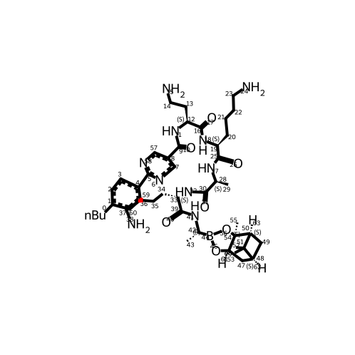 CCCCc1ccc(-c2ncc(C(=O)N[C@@H](CCN)C(=O)N[C@@H](CCCCN)C(=O)N[C@@H](C)C(=O)N[C@@H](CCCCN)C(=O)N[C@@H](C)B3O[C@@H]4C[C@@H]5C[C@@H](C5(C)C)[C@]4(C)O3)cn2)cc1